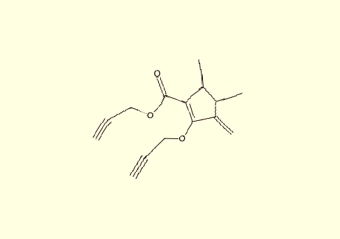 C#CCOC(=O)C1=C(OCC#C)C(=C)C(C)C1C